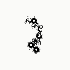 CN(C)Cc1cccc(CNC(=O)CCN2CCC(OC(=O)Nc3ccccc3-c3ccccc3)CC2)c1